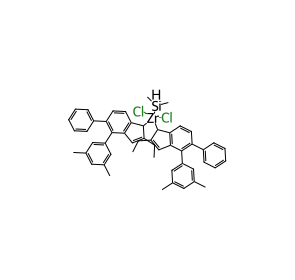 CCC1=Cc2c(ccc(-c3ccccc3)c2-c2cc(C)cc(C)c2)[CH]1[Zr]([Cl])([Cl])([CH]1C(CC)=Cc2c1ccc(-c1ccccc1)c2-c1cc(C)cc(C)c1)[SiH](C)C